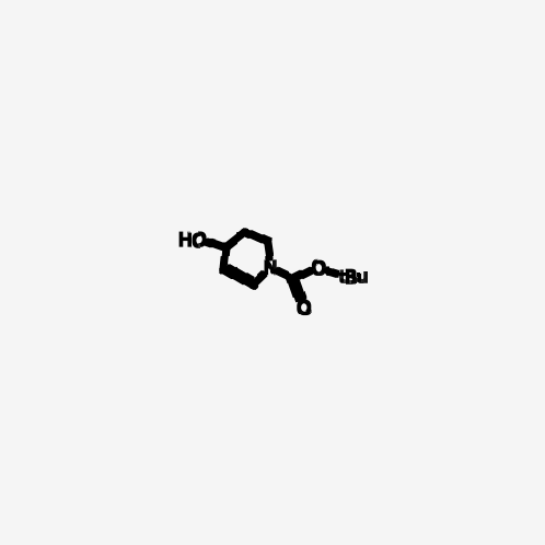 CC(C)(C)OC(=O)N1C=CC(O)CC1